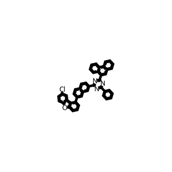 Clc1ccc2oc3cccc(-c4ccc5ccc(-c6nc(-c7ccccc7)nc(-c7cc8ccccc8c8ccccc78)n6)cc5c4)c3c2c1